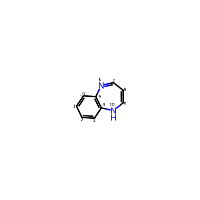 [c]1cccc2c1N=CC=CN2